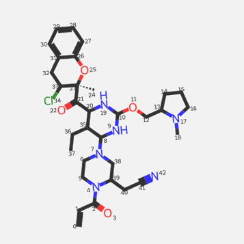 C=CC(=O)N1CCN(C2NC(OCC3CCCN3C)NC(C(=O)[C@]3(C)Oc4ccccc4CC3Cl)C2CC)CC1CC#N